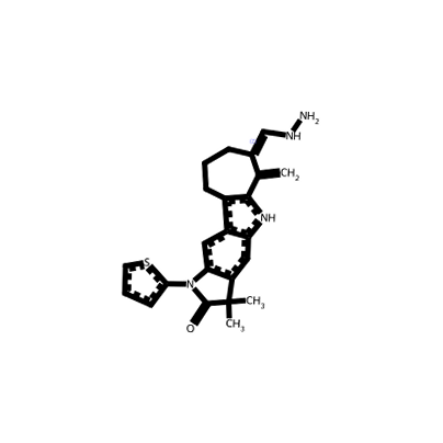 C=C1/C(=C\NN)CCCc2c1[nH]c1cc3c(cc21)N(c1cccs1)C(=O)C3(C)C